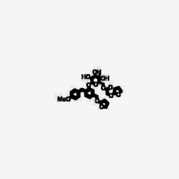 COc1ccc(Cc2ccc(COC3CCCO3)cc2O[C@H]2O[C@H](COC(=O)COC3CCCO3)[C@@](C)(O)[C@H](O)[C@H]2O)cc1